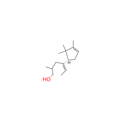 CC=C(CC(C)CO)[C@H]1CC=C(C)C1(C)C